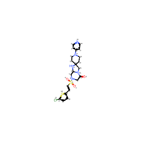 O=C1CN(S(=O)(=O)C=Cc2ccc(Cl)s2)CC2NC3(CCN(c4ccncc4)CC3)CN12